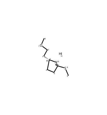 COCC[C@H]1CCC(SC)=N1.I